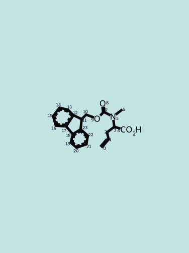 C=CCC(C(=O)O)N(C)C(=O)OCC1c2ccccc2-c2ccccc21